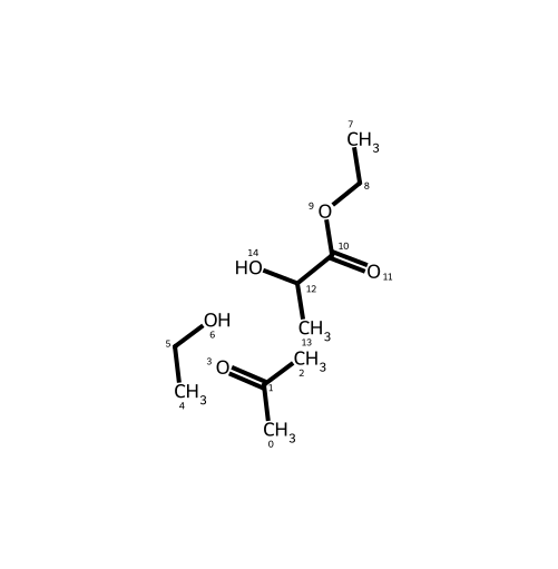 CC(C)=O.CCO.CCOC(=O)C(C)O